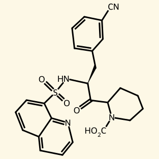 N#Cc1cccc(C[C@H](NS(=O)(=O)c2cccc3cccnc23)C(=O)C2CCCCN2C(=O)O)c1